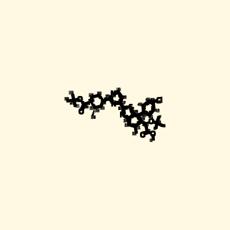 COC(=O)[C@@H](OC(C)(C)C)c1c(C)cc2nc(-c3ccnc(N4CCN(C(=O)OC(C)(C)C)[C@@H](C)C4)n3)sc2c1-c1ccc(Cl)cc1